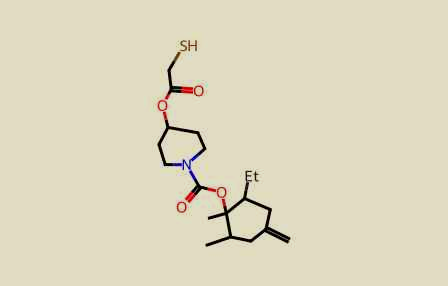 C=C1CC(C)C(C)(OC(=O)N2CCC(OC(=O)CS)CC2)C(CC)C1